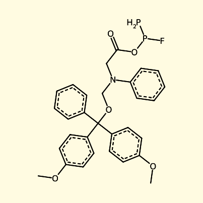 COc1ccc(C(OCN(CC(=O)OP(F)P)c2ccccc2)(c2ccccc2)c2ccc(OC)cc2)cc1